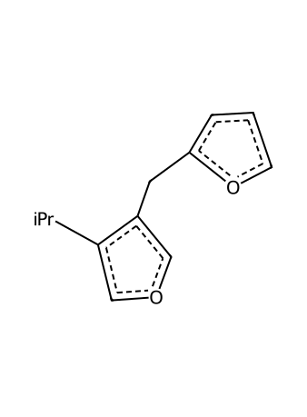 CC(C)c1cocc1Cc1ccco1